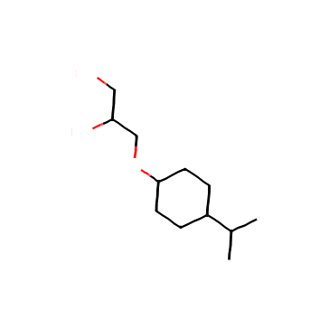 CC(C)C1CCC(OCC(O)CO)CC1